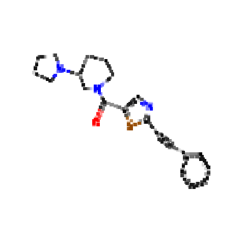 O=C(c1cnc(C#Cc2ccccc2)s1)N1CCCC(N2CCCC2)C1